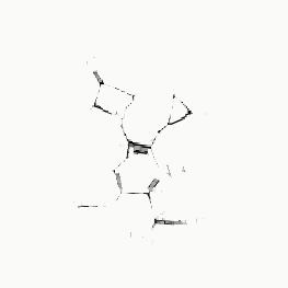 COc1cc(N2CC(=O)C2)c(C2CC2)nc1C(=O)O